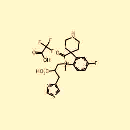 C[N+]1(CC(Cc2cscn2)C(=O)O)C(=O)C2(CCNCC2)c2cc(F)ccc21.O=C(O)C(F)(F)F